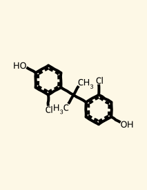 CC(C)(c1ccc(O)cc1Cl)c1ccc(O)cc1Cl